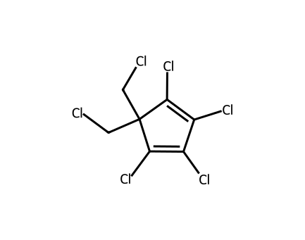 ClCC1(CCl)C(Cl)=C(Cl)C(Cl)=C1Cl